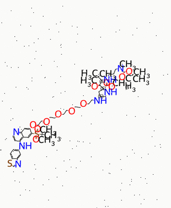 COC(=O)[C@@]1(C(=O)[C@@H](NCCCN(C)C(=O)OC(C)(C)C)C(C)(C)C)C[C@H](NCCOCCOCCOCCOCCOc2cc3nccc(Nc4ccc5scnc5c4)c3cc2S(=O)(=O)C(C)(C)C)CN1